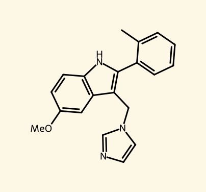 COc1ccc2[nH]c(-c3ccccc3C)c(Cn3ccnc3)c2c1